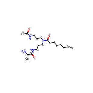 CCCCCCCCCCCCCCCC(=O)N(CCCNC(=O)C(C)C)CCCNC(=O)[C@H](C)N